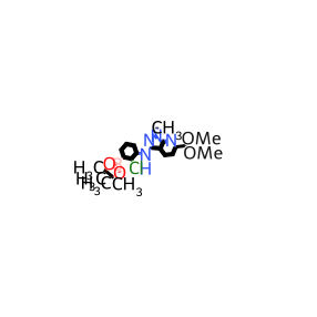 COC(OC)c1ccc2c(Nc3cccc(B4OC(C)(C)C(C)(C)O4)c3Cl)nn(C)c2n1